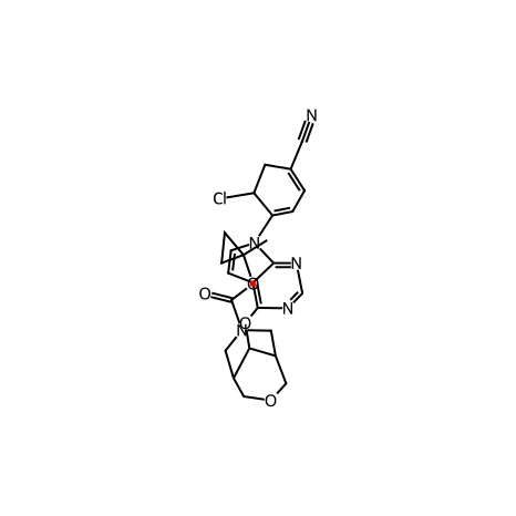 CC1(OC(=O)N2CC3COCC(C2)C3Oc2ncnc3c2ccn3C2=CC=C(C#N)CC2Cl)CC1